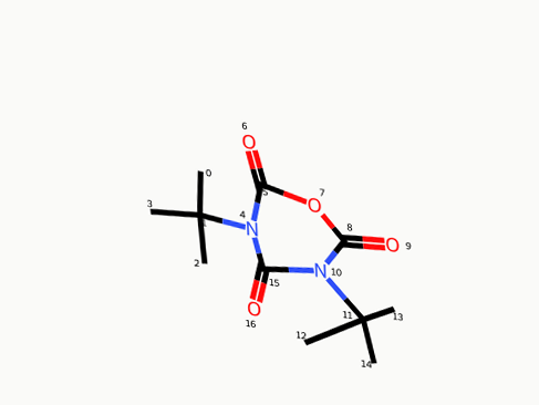 CC(C)(C)n1c(=O)oc(=O)n(C(C)(C)C)c1=O